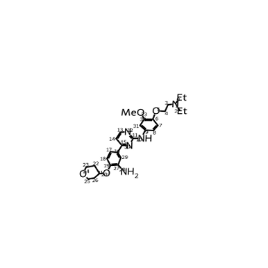 CCN(CC)CCOc1ccc(Nc2nccc(-c3ccc(OC4CCOCC4)c(N)c3)n2)cc1OC